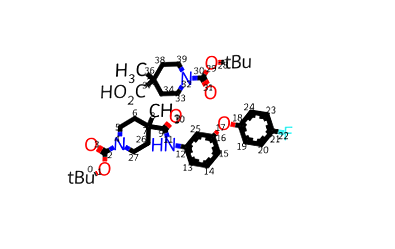 CC(C)(C)OC(=O)N1CCC(C)(C(=O)Nc2cccc(Oc3ccc(F)cc3)c2)CC1.CC(C)(C)OC(=O)N1CCC(C)(C(=O)O)CC1